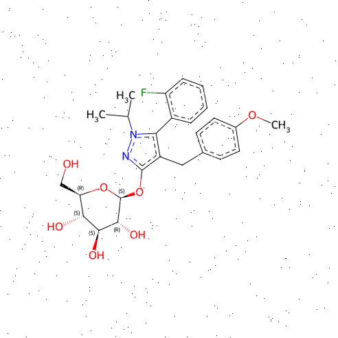 COc1ccc(Cc2c(O[C@@H]3O[C@H](CO)[C@@H](O)[C@H](O)[C@H]3O)nn(C(C)C)c2-c2ccccc2F)cc1